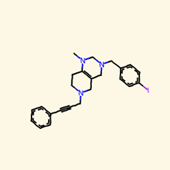 CN1CN(Cc2ccc(I)cc2)CC2=C1CCN(CC#Cc1ccccc1)C2